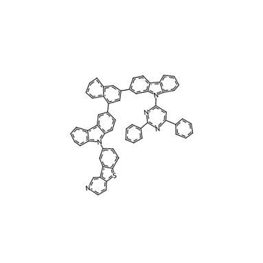 c1ccc(-c2cc(-n3c4ccccc4c4ccc(-c5cc(-c6ccc7c(c6)c6ccccc6n7-c6ccc7sc8ccncc8c7c6)c6ccccc6c5)cc43)nc(-c3ccccc3)n2)cc1